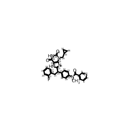 CN(C(=O)c1cccnc1)c1ccc(C(Cc2ccccc2F)c2nc3c([nH]2)c(=O)[nH]c(=O)n3CC2CC2)cc1